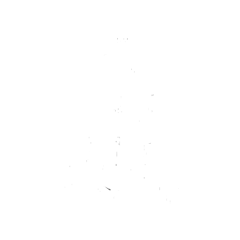 CC[C@H]1COCC(=O)N1c1cc(CS(C)(=O)=O)cc(-c2ccc3[nH]c(CNC)cc3n2)n1